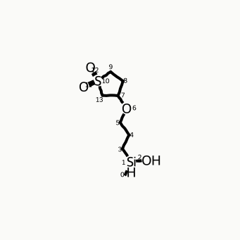 C[SiH](O)CCCOC1CCS(=O)(=O)C1